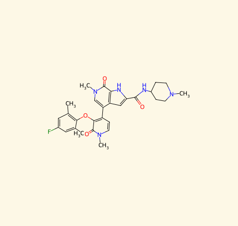 Cc1cc(F)cc(C)c1Oc1c(-c2cn(C)c(=O)c3[nH]c(C(=O)NC4CCN(C)CC4)cc23)ccn(C)c1=O